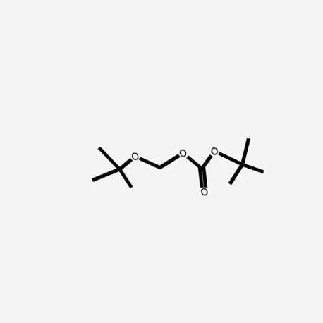 CC(C)(C)OCOC(=O)OC(C)(C)C